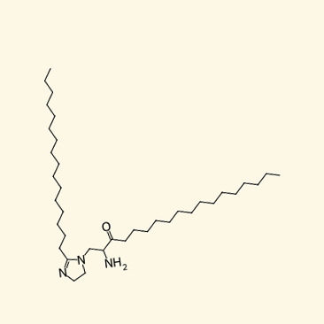 CCCCCCCCCCCCCCCCC1=NCCN1CC(N)C(=O)CCCCCCCCCCCCCCC